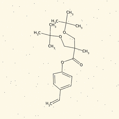 C=Cc1ccc(OC(=O)C(C)(COC(C)(C)C)COC(C)(C)C)cc1